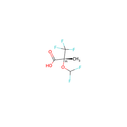 C[C@@](OC(F)F)(C(=O)O)C(F)(F)F